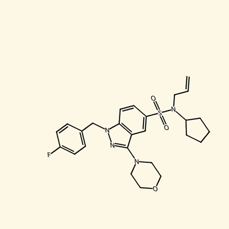 C=CCN(C1CCCC1)S(=O)(=O)c1ccc2c(c1)c(N1CCOCC1)nn2Cc1ccc(F)cc1